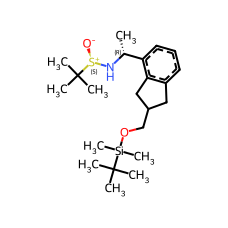 C[C@@H](N[S@+]([O-])C(C)(C)C)c1cccc2c1CC(CO[Si](C)(C)C(C)(C)C)C2